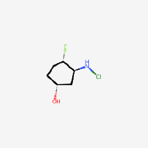 O[C@@H]1CC[C@H](F)[C@@H](NCl)C1